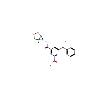 CNC(=O)c1cc(C(=O)N[C@H]2[C@@H]3C[C@@H](O)C[C@@H]32)cc([C@H](OC)c2ccccc2)n1